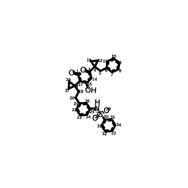 O=c1oc(C2(Cc3ccccc3)CC2)cc(O)c1C1(CCc2cccc(NS(=O)(=O)c3ccccc3)c2)CC1